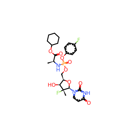 C[C@H](NP(=O)(OC[C@H]1O[C@@H](n2ccc(=O)[nH]c2=O)[C@](C)(F)[C@H]1O)Oc1ccc(F)cc1)C(=O)OC1CCCCC1